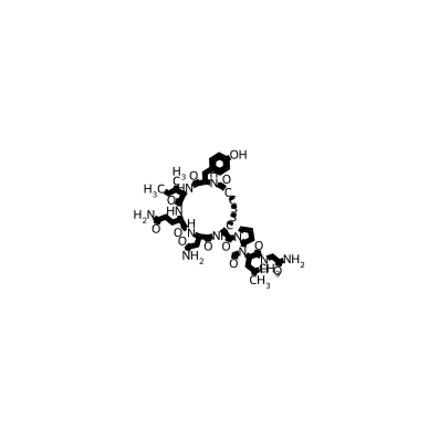 CCC(C)C1NC(=O)C(Cc2ccc(O)cc2)NC(=O)CCSSCC(C(=O)N2CCCC2N(C=O)C(CC(C)C)C(=O)NCC(N)=O)NC(=O)C(CC(N)=O)NC(=O)C(CCC(N)=O)NC1=O